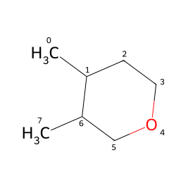 CC1CCOCC1C